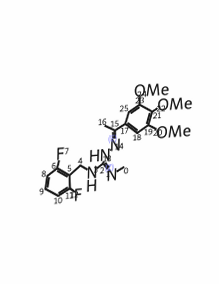 C/N=C(/NCc1c(F)cccc1F)N/N=C(\C)c1cc(OC)c(OC)c(OC)c1